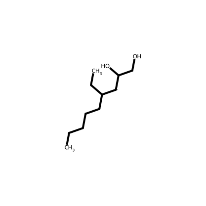 CCCCCC([CH]C(O)CO)CC